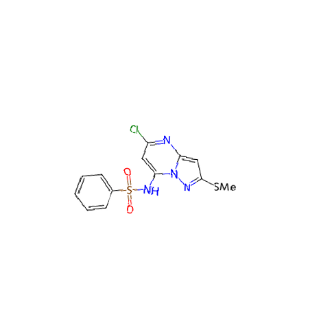 CSc1cc2nc(Cl)cc(NS(=O)(=O)c3ccccc3)n2n1